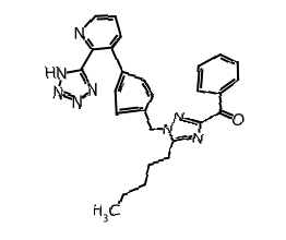 CCCCCc1nc(C(=O)c2ccccc2)nn1Cc1ccc(-c2cccnc2-c2nnn[nH]2)cc1